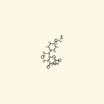 O=c1[nH]c(=O)c2c(o1)C(c1ccc(OCF)cc1)COC2